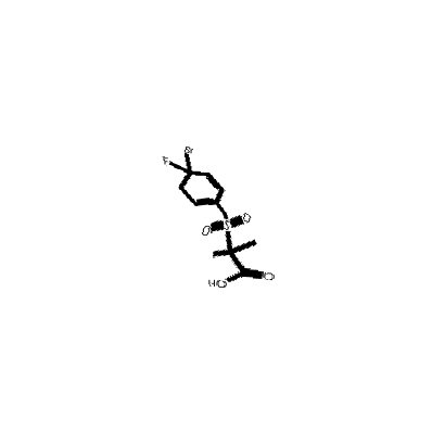 CC(C)(C(=O)O)S(=O)(=O)C1=CCC(F)(Br)C=C1